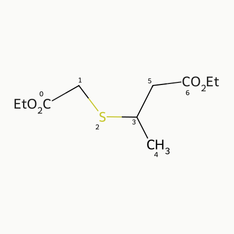 CCOC(=O)CSC(C)CC(=O)OCC